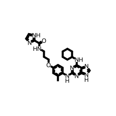 Cc1cc(OCCCNC(=O)c2ncc[nH]2)ccc1Nc1nc(NC2CCCCC2)c2nc[nH]c2n1